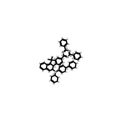 CC1(C)C2=c3ccccc3=CC(N(C3=CCC(C4=CCCC=C4)C=C3)C3CC=CCC3)C2c2ccc(-c3nc(-c4ccccc4)nc(-c4ccccc4)n3)cc21